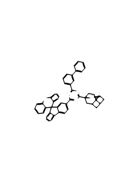 c1ccc(-c2cccc(-c3nc(-c4ccc5c(c4)C4(c6ccccc6Oc6ccccc64)c4ccccc4-5)nc(C45CCC67C(CC6C4)C[C@H]7C5)n3)c2)cc1